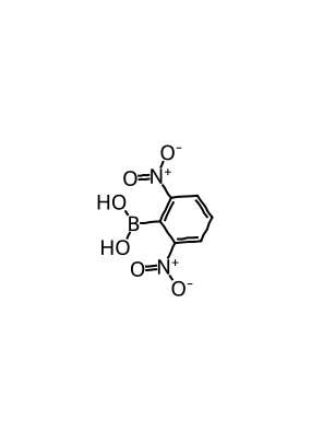 O=[N+]([O-])c1cccc([N+](=O)[O-])c1B(O)O